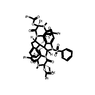 CC[C@@]1(OC(=O)C(C)C)C(=O)N2[C@H]3Cc4ccccc4[C@@]3([C@]34C[C@]5(SC(=O)C(C)C)C(=O)N(C)[C@](COC(C)=O)(OC(=O)C(C)C)C(=O)N5[C@H]3N(S(=O)(=O)c3ccccc3)c3ccccc34)C[C@]2(SC(=O)C(C)C)C(=O)N1C